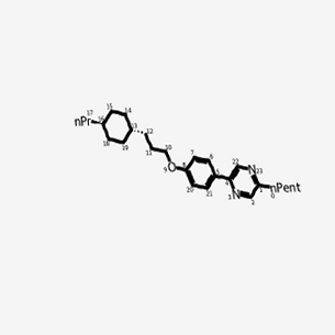 CCCCCc1cnc(-c2ccc(OCCC[C@H]3CC[C@H](CCC)CC3)cc2)cn1